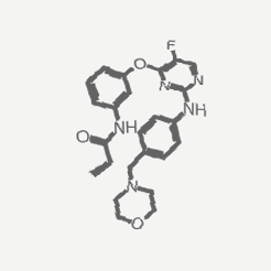 C=CC(=O)Nc1cccc(Oc2nc(Nc3ccc(CN4CCOCC4)cc3)ncc2F)c1